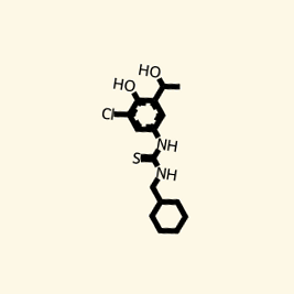 CC(O)c1cc(NC(=S)NCC2CCCCC2)cc(Cl)c1O